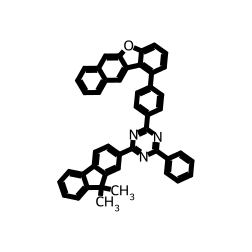 CC1(C)c2ccccc2-c2ccc(-c3nc(-c4ccccc4)nc(-c4ccc(-c5cccc6oc7cc8ccccc8cc7c56)cc4)n3)cc21